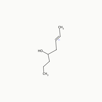 C/C=C/CC(O)CCC